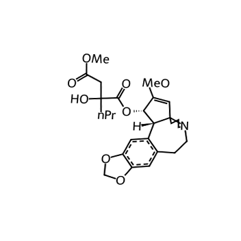 CCCC(O)(CC(=O)OC)C(=O)O[C@@H]1C(OC)=CC23CCCN2CCc2cc4c(cc2[C@H]13)OCO4